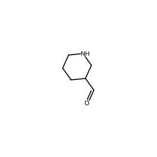 O=CC1[CH]CCNC1